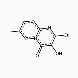 CCc1nc2ccc(C)cn2c(=O)c1O